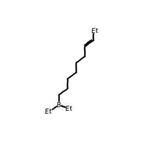 CC/C=C/CCCCCCB(CC)CC